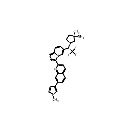 Cn1cc(-c2ccc3ccc(-c4nnc5ccc([C@H](N6CC[C@](C)(N)C6)C(F)(F)F)cn45)nc3c2)cn1